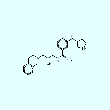 C=C(NC[C@H](O)CN1CCc2ccccc2C1)c1cc(NC2CCNC2)ncn1